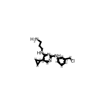 NCCCNc1nc(Nc2cccc(CCl)c2)ncc1C1CC1